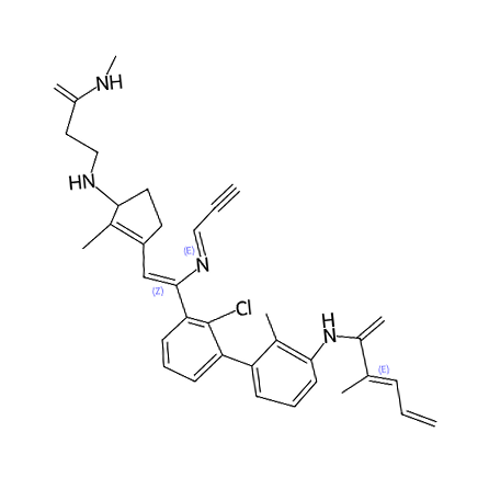 C#C/C=N/C(=C\C1=C(C)C(NCCC(=C)NC)CC1)c1cccc(-c2cccc(NC(=C)/C(C)=C/C=C)c2C)c1Cl